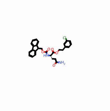 NC(=O)CC[C@H](NC(=O)OCC1c2ccccc2-c2ccccc21)C(=O)OCCc1cccc(Cl)c1